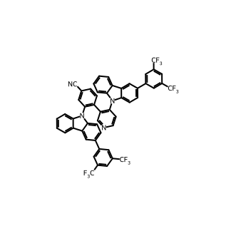 N#Cc1ccc(-c2cnccc2-n2c3ccccc3c3cc(-c4cc(C(F)(F)F)cc(C(F)(F)F)c4)ccc32)c(-n2c3ccccc3c3cc(-c4cc(C(F)(F)F)cc(C(F)(F)F)c4)ccc32)c1